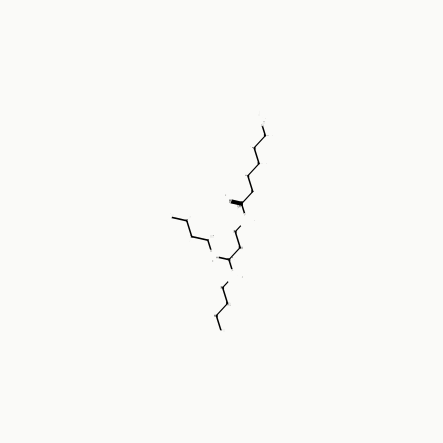 CCCCOC(CCOC(=O)CCCCCBr)OCCCC